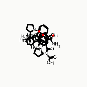 CC1(CC(N)=O)c2ccc(cc2)[C@]1(C(=O)NC(=O)O)N1CCCC1[C@H]1CC[C@H](C2CCCN2[C@@]2(C(=O)NC(=O)O)c3ccc(cc3)C2(C)CC(N)=O)N1c1ccc(O)cc1